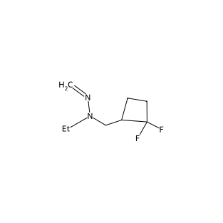 C=NN(CC)CC1CCC1(F)F